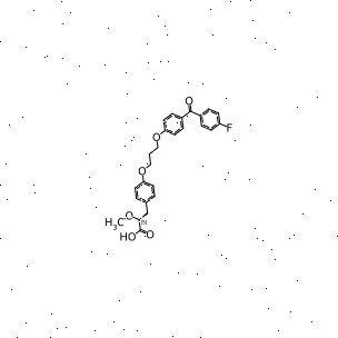 CO[C@@H](Cc1ccc(OCCCOc2ccc(C(=O)c3ccc(F)cc3)cc2)cc1)C(=O)O